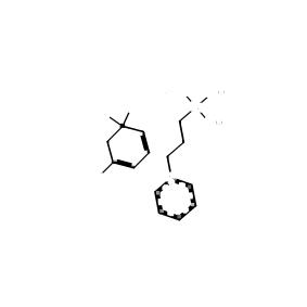 CC1(C(=O)O)C=CC=C(C(=O)O)C1.CO[Si](CCC[n+]1ccccc1)(OC)OC